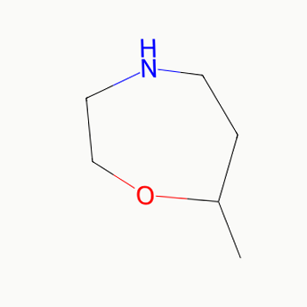 CC1CCNCCO1